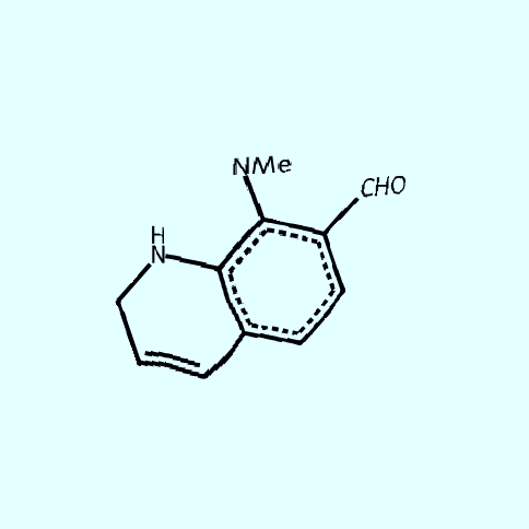 CNc1c(C=O)ccc2c1NCC=C2